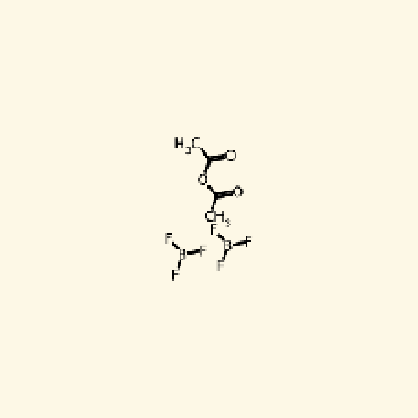 CC(=O)OC(C)=O.FB(F)F.FB(F)F